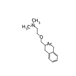 CN(C)CCOC[CH]1Cc2ccccc2[CH2][Ac]1